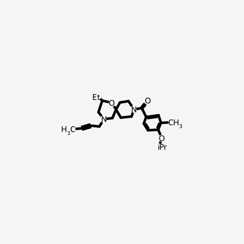 CC#CCN1CC(CC)OC2(CCN(C(=O)c3ccc(OC(C)C)c(C)c3)CC2)C1